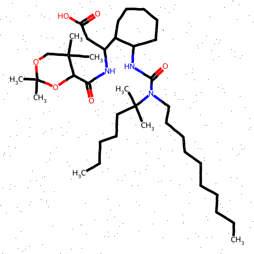 CCCCCCCCCCN(C(=O)NC1CCCCCC1C(CC(=O)O)NC(=O)C1OC(C)(C)OCC1(C)C)C(C)(C)CCCCC